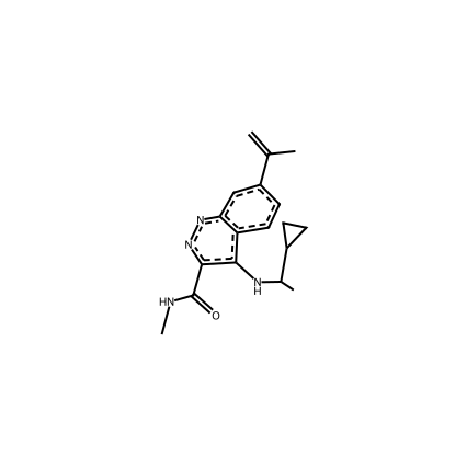 C=C(C)c1ccc2c(NC(C)C3CC3)c(C(=O)NC)nnc2c1